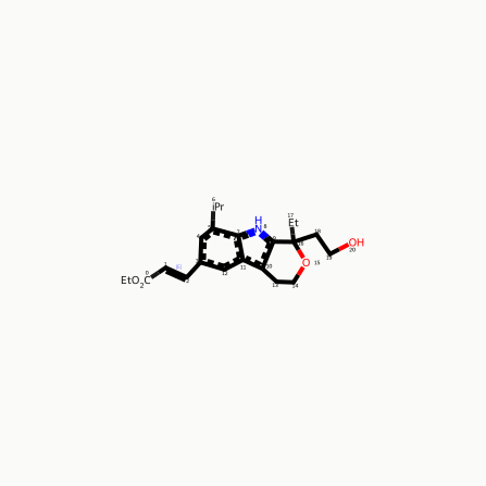 CCOC(=O)/C=C/c1cc(C(C)C)c2[nH]c3c(c2c1)CCOC3(CC)CCO